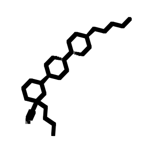 CCCCC[C@H]1CC[C@H]([C@H]2CC[C@H](C3CCCC(C#N)(CCCC)C3)CC2)CC1